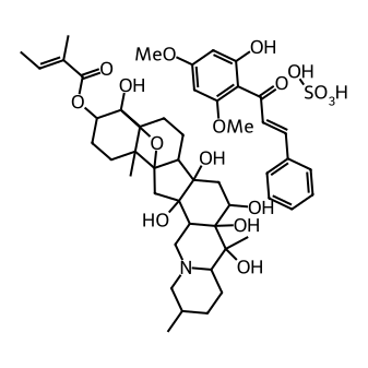 CC=C(C)C(=O)OC1CCC2(C)C3CCC4C5(O)CC(O)C6(O)C(CN7CC(C)CCC7C6(C)O)C5(O)CC42OC13O.COc1cc(O)c(C(=O)C=Cc2ccccc2)c(OC)c1.O=S(=O)(O)O